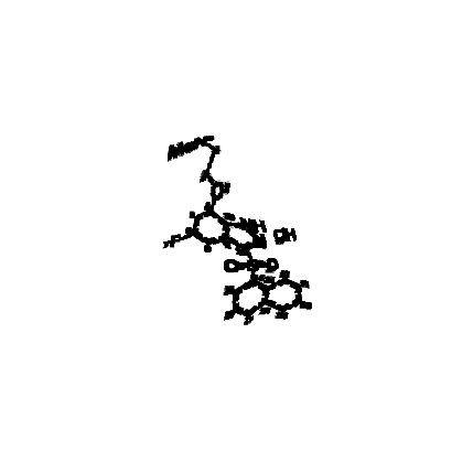 CNCCOc1cc(F)cc2c(S(=O)(=O)c3cccc4ccccc34)n[nH]c12.Cl